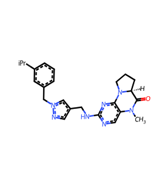 CC(C)c1cccc(Cn2cc(CNc3ncc4c(n3)N3CCC[C@H]3C(=O)N4C)cn2)c1